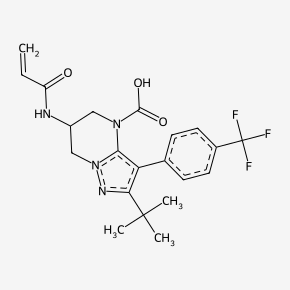 C=CC(=O)NC1CN(C(=O)O)c2c(-c3ccc(C(F)(F)F)cc3)c(C(C)(C)C)nn2C1